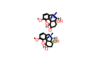 COc1ccc2c3c1O[C@H]1C(=O)CC[C@@]4(O)[C@@H](C2)N(C)CC[C@]314.COc1ccc2c3c1O[C@H]1C(=O)CC[C@@]4(O)[C@@H](C2)N(C)CC[C@]314.Cl